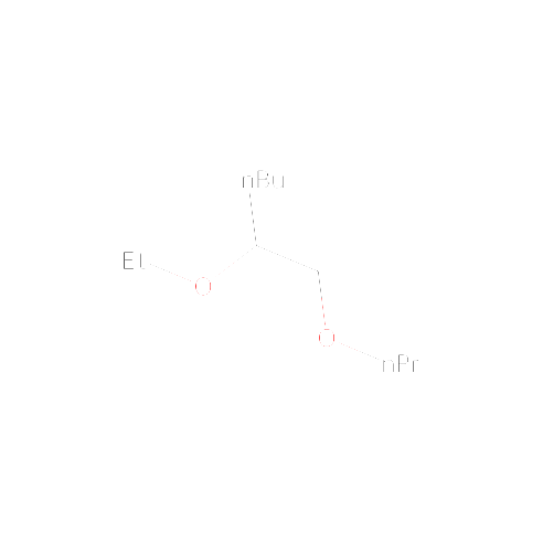 [CH2]CCOCC(CCCC)OCC